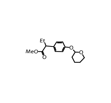 CCC(C(=O)OC)c1ccc(OC2CCCCO2)cc1